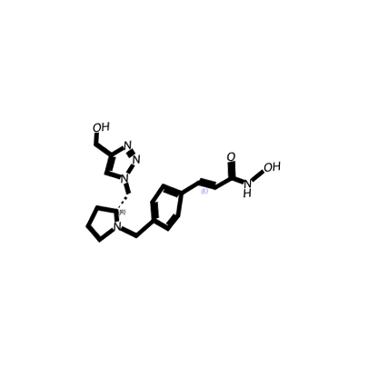 O=C(/C=C/c1ccc(CN2CCC[C@@H]2Cn2cc(CO)nn2)cc1)NO